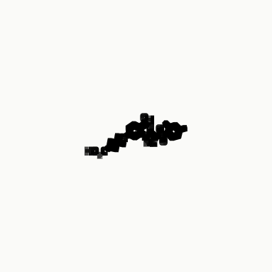 Cc1ccc(S(=O)(=O)c2nnn3c2[nH]c(=O)c2ccc(N4CC5(CC(C(=O)O)C5)C4)cc23)c(C)c1